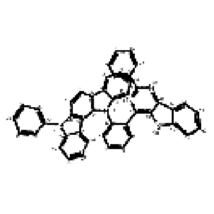 c1ccc(-c2nc(-c3ccccc3-n3c4ccccc4c4ccc5c(c6ccccc6n5-c5ccccc5)c43)c3sc4ccccc4c3n2)cc1